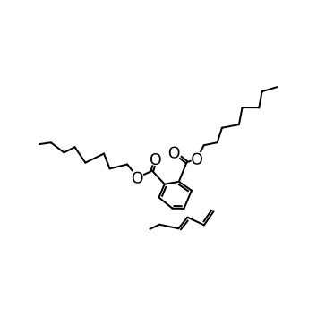 C=CC=CCC.CCCCCCCCOC(=O)c1ccccc1C(=O)OCCCCCCCC